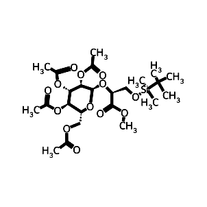 COC(=O)[C@H](CO[Si](C)(C)C(C)(C)C)O[C@H]1O[C@H](COC(C)=O)[C@@H](OC(C)=O)[C@H](OC(C)=O)[C@@H]1OC(C)=O